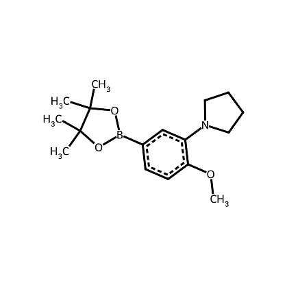 COc1ccc(B2OC(C)(C)C(C)(C)O2)cc1N1CCCC1